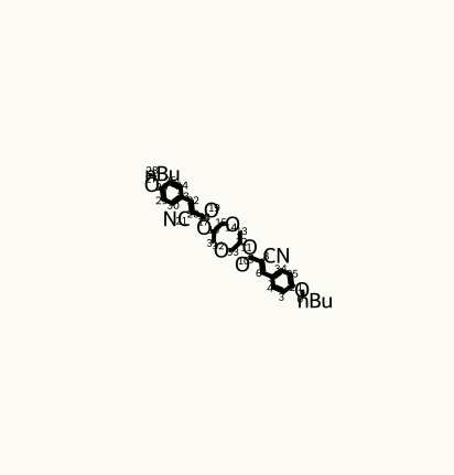 CCCCOc1ccc(/C=C(\C#N)C(=O)O[C@H]2COC[C@H](OC(=O)/C(C#N)=C/c3ccc(OCCCC)cc3)COC2)cc1